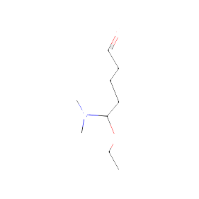 CCOC(CCCC=O)N(C)C